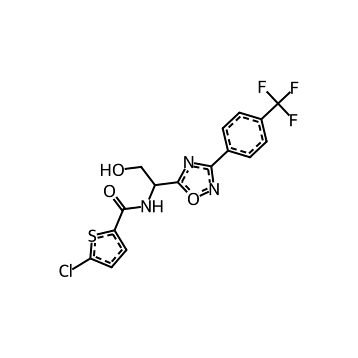 O=C(NC(CO)c1nc(-c2ccc(C(F)(F)F)cc2)no1)c1ccc(Cl)s1